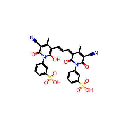 CC1=C(C#N)C(=O)N(c2cccc(S(=O)(=O)O)c2)C(=O)C1=CC=Cc1c(C)c(C#N)c(=O)n(-c2cccc(S(=O)(=O)O)c2)c1O